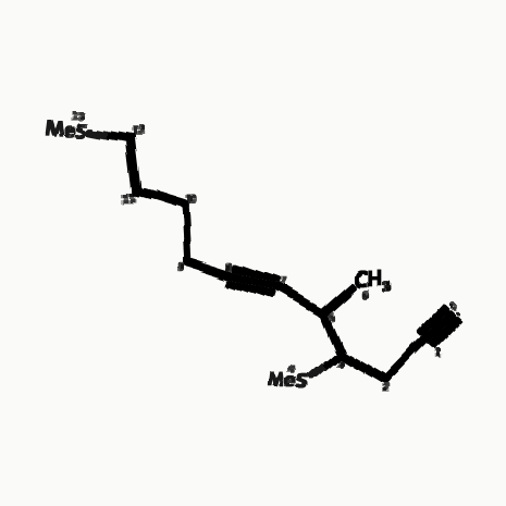 [C]#CCC(SC)C(C)C#CCCCCSC